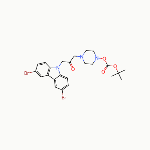 CC(C)(C)OC(=O)ON1CCN(CC(=O)Cn2c3ccc(Br)cc3c3cc(Br)ccc32)CC1